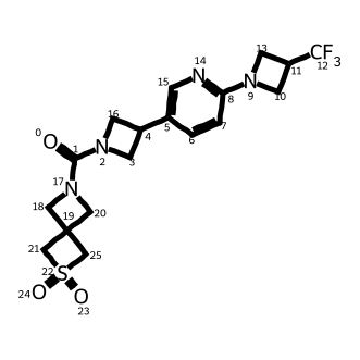 O=C(N1CC(c2ccc(N3CC(C(F)(F)F)C3)nc2)C1)N1CC2(C1)CS(=O)(=O)C2